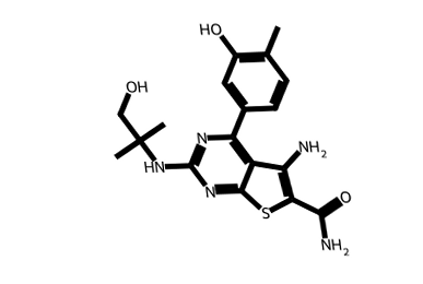 Cc1ccc(-c2nc(NC(C)(C)CO)nc3sc(C(N)=O)c(N)c23)cc1O